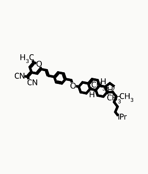 [C-]#[N+]/C(C#N)=C1\C=C(C)OC(/C=C/c2ccc(COC3CC[C@@]4(C)C(=CC[C@H]5[C@@H]6CC[C@H]([C@H](C)CCCC(C)C)[C@@]6(C)CC[C@@H]54)C3)cc2)=C1